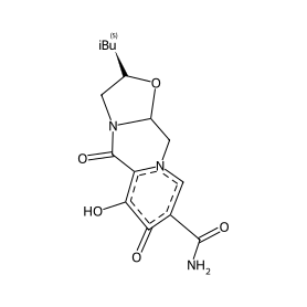 CC[C@H](C)C1CN2C(=O)c3c(O)c(=O)c(C(N)=O)cn3CC2O1